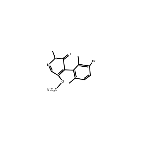 CCOC(=O)Oc1cnn(C)c(=O)c1-c1c(C)ccc(Br)c1C